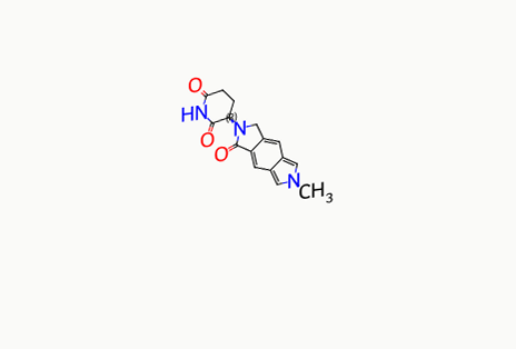 Cn1cc2cc3c(cc2c1)C(=O)N([C@@H]1CCC(=O)NC1=O)C3